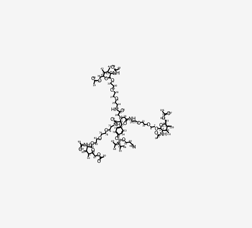 CC(=O)NC1C(OCCOCCOCCNC(=O)CN(CC(=O)NCCOCCOCCOC2OC(COC(C)=O)C(C)C(C)C2NC(C)=O)C(Cc2ccc(OP(OCCC#N)N(C(C)C)C(C)C)cc2)C(=O)NCCOCCOCCOC2OC(COC(C)=O)C(C)C(C)C2NC(C)=O)OC(COC(C)=O)C(C)C1C